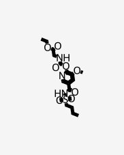 CCCCS(=O)(=O)NC(=O)c1cnc(OC(=O)NCC(=O)OCC)c(OC)c1